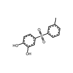 Cc1cccc(S(=O)(=O)c2ccc(O)c(O)c2)c1